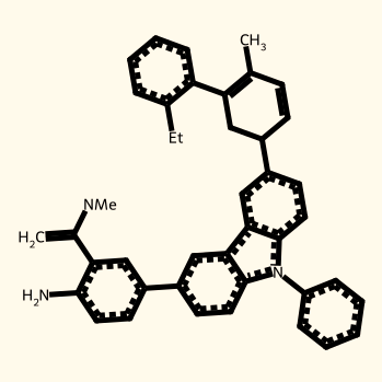 C=C(NC)c1cc(-c2ccc3c(c2)c2cc(C4C=CC(C)=C(c5ccccc5CC)C4)ccc2n3-c2ccccc2)ccc1N